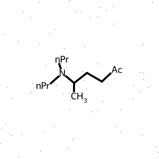 CCCN(CCC)C(C)CCC(C)=O